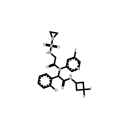 O=C(NC1CC(F)(F)C1)C(c1ccccc1Cl)N(C(=O)CNS(=O)(=O)N1CC1)c1cncc(F)c1